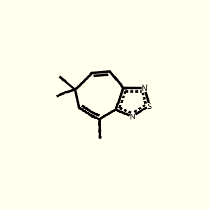 CC1=CC(C)(C)C=Cc2nsnc21